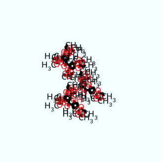 CCC(Oc1ccc(C(=O)c2ccc(OC(CC)[Si](OC)(OC)OC)cc2O)c(O)c1)[Si](OC)(OC)OC.CCC(Oc1ccc(C(=O)c2ccc(OC(CC)[Si](OC)(OC)OC)cc2O[Si](OC)(OC)OC)c(O)c1)[Si](OC)(OC)OC.CCC(Oc1ccc(C(=O)c2ccc(OC(CC)[Si](OC)(OC)OC)cc2O[Si](OC)(OC)OC)c(O[Si](OC)(OC)OC)c1)[Si](OC)(OC)OC